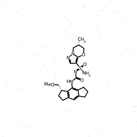 COC[C@H]1CCc2cc3c(c(NC(=O)N=[S@@](N)(=O)c4cnn5c4OC[C@@H](C)C5)c21)CCC3